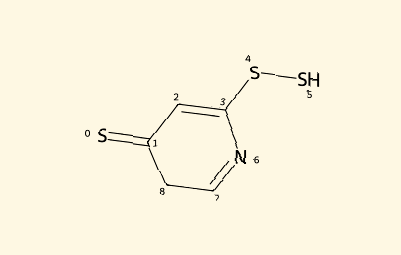 S=C1C=C(SS)N=CC1